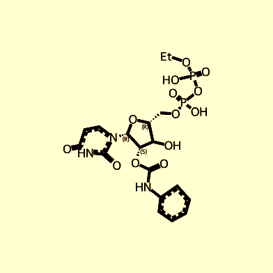 CCOP(=O)(O)OP(=O)(O)OC[C@H]1O[C@@H](n2ccc(=O)[nH]c2=O)[C@@H](OC(=O)Nc2ccccc2)C1O